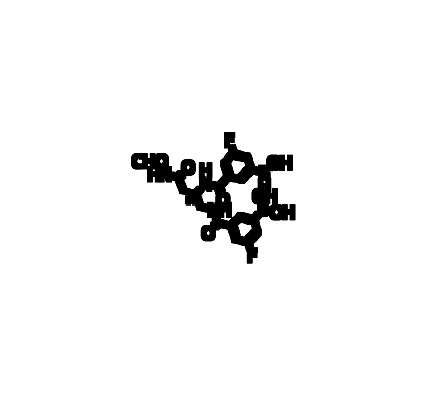 O=CNC(=O)C[C@H](CNC(=O)c1cc(F)cc(B(O)O)c1)NC(=O)c1cc(F)cc(BO)c1